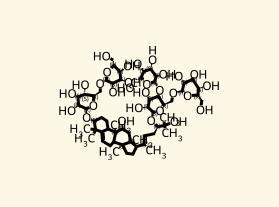 C[C@H](CC[C@@H](O[C@@H]1O[C@H](CO[C@@H]2O[C@H](CO)[C@@H](O)[C@H](O)[C@H]2O)[C@@H](O[C@H]2O[C@H](CO)[C@@H](O)[C@H](O)[C@H]2O)[C@H](O)[C@H]1O)C(C)(C)O)C1CC[C@@]2(C)C3CC=C4C(CC[C@H](O[C@@H]5O[C@H](CO[C@@H]6O[C@H](CO)[C@@H](O)[C@H](O)[C@H]6O)[C@@H](O)[C@H](O)[C@H]5O)C4(C)C)[C@]3(C)[C@H](O)C[C@]12C